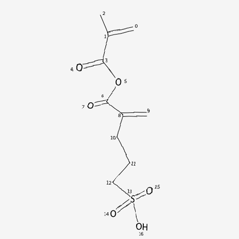 C=C(C)C(=O)OC(=O)C(=C)CCCS(=O)(=O)O